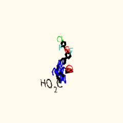 O=C(O)c1cc2nc(CN3CC=C(c4ccc(F)c(OCc5ccc(Cl)cc5F)c4)CC3)n(C[C@@H]3CCO3)c2cn1